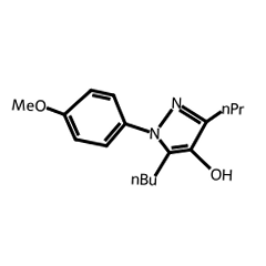 CCCCc1c(O)c(CCC)nn1-c1ccc(OC)cc1